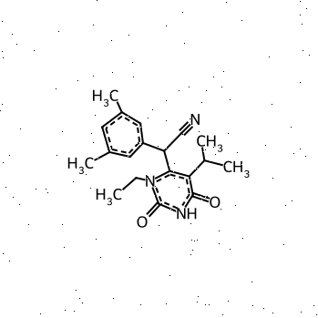 CCn1c(C(C#N)c2cc(C)cc(C)c2)c(C(C)C)c(=O)[nH]c1=O